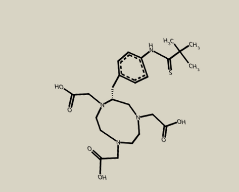 CC(C)(C)C(=S)Nc1ccc(C[C@@H]2CN(CC(=O)O)CCN(CC(=O)O)CCN2CC(=O)O)cc1